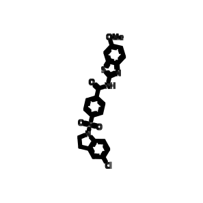 COc1ccc2nc(NC(=O)c3ccc(S(=O)(=O)N4CCc5cc(Cl)ccc54)cc3)sc2c1